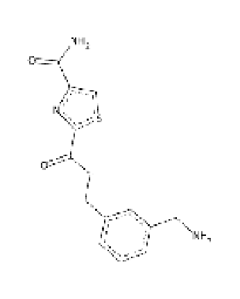 NCc1cccc(C[CH]C(=O)c2nc(C(N)=O)cs2)c1